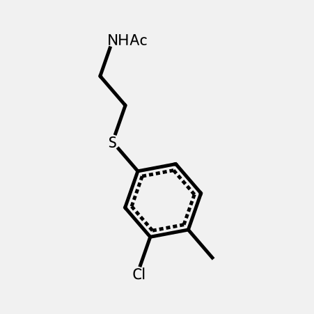 CC(=O)NCCSc1ccc(C)c(Cl)c1